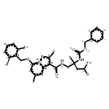 Cc1cc(OCc2c(F)cccc2F)n2nc(C)c(C(=O)NCC(C)(CC(F)F)NC(=O)OCc3ccccc3)c2c1